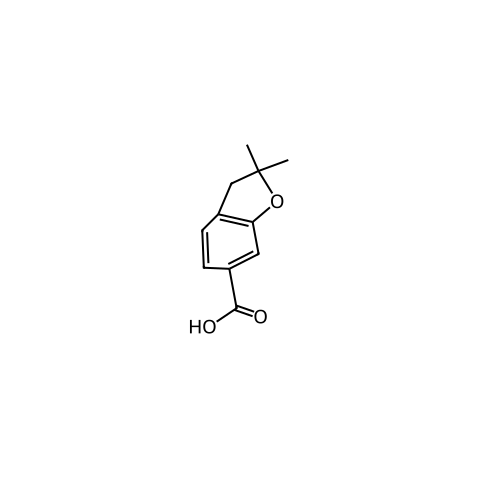 CC1(C)Cc2ccc(C(=O)O)cc2O1